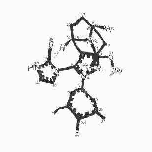 Cc1cc(-n2nc3c(c2-n2cc[nH]c2=O)[C@@H]2CC[C@H](C3)N2C(=O)OC(C)(C)C)cc(C)c1F